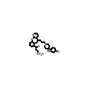 O=C(O)CCC(=O)c1cccc2c1CC(=CCCN1CCC(O)(c3ccc(Cl)cc3)CC1)c1cccnc1O2